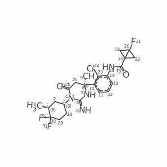 C[C@H]1C[C@@H](N2C(=N)N[C@](C)(c3cccc(NC(=O)C45CC4(F)C5)c3Cl)CC2=O)CCC1(F)F